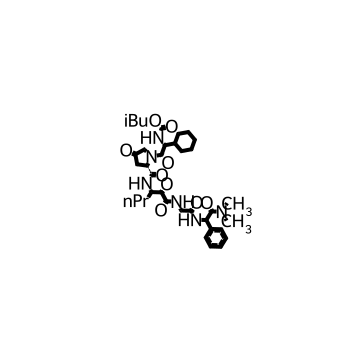 CCCC(NC(=O)[C@@H]1CC(=O)CN1C(=O)C(NC(=O)OCC(C)C)C1CCCCC1)C(=O)C(=O)NCC(=O)NC(C(=O)N(C)C)c1ccccc1